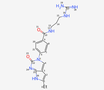 CCc1cc2cn(-c3ccc(C(=O)NCCCNC(=N)N)cc3)c(=O)nc2[nH]1